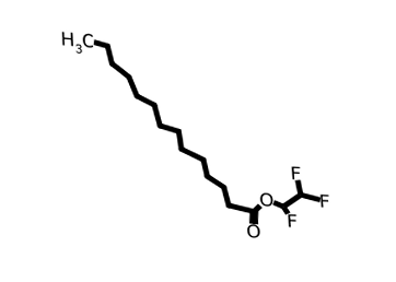 CCCCCCCCCCCCCC(=O)OC(F)C(F)F